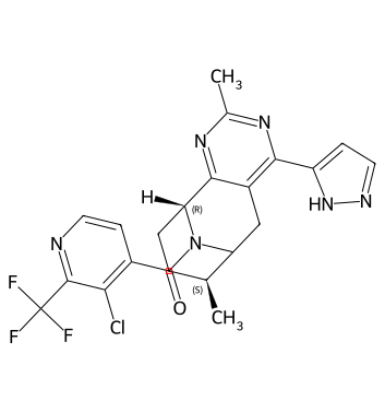 Cc1nc(-c2ccn[nH]2)c2c(n1)[C@H]1CC[C@H](C)C(C2)N1C(=O)c1ccnc(C(F)(F)F)c1Cl